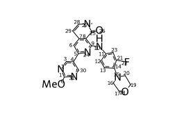 COc1ncc(-c2cc3c(c(Nc4ccc(N5CCOCC5)c(F)c4)n2)C(=O)[N]C=C3)cn1